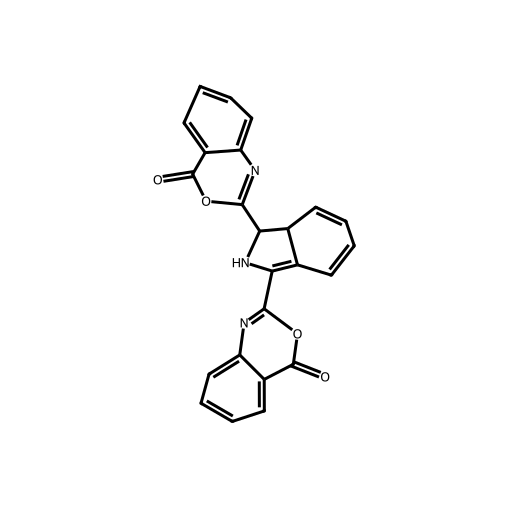 O=c1oc(C2=C3C=CC=CC3C(c3nc4ccccc4c(=O)o3)N2)nc2ccccc12